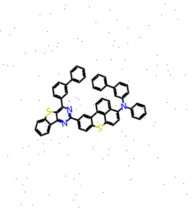 c1ccc(-c2cccc(-c3nc(-c4ccc5c(c4)-c4cccc6c(N(c7ccccc7)c7cccc(-c8ccccc8)c7)ccc(c46)S5)nc4c3sc3ccccc34)c2)cc1